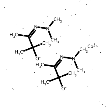 CC(=NN(C)C)C(C)(C)[O-].CC(=NN(C)C)C(C)(C)[O-].[Co+2]